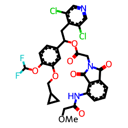 COCC(=O)Nc1cccc2c1C(=O)N(CC(=O)OC(Cc1c(Cl)cncc1Cl)c1ccc(OC(F)F)c(OCC3CC3)c1)C2=O